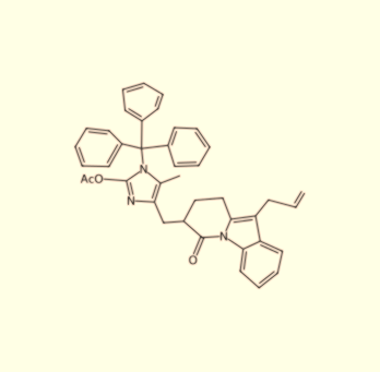 C=CCc1c2n(c3ccccc13)C(=O)C(Cc1nc(OC(C)=O)n(C(c3ccccc3)(c3ccccc3)c3ccccc3)c1C)CC2